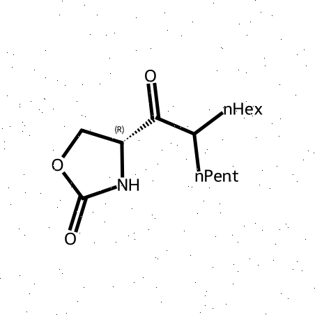 CCCCCCC(CCCCC)C(=O)[C@H]1COC(=O)N1